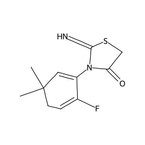 CC1(C)C=C(N2C(=N)SCC2=O)C(F)=CC1